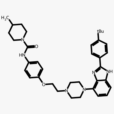 CC1CCN(C(=O)Nc2ccc(OCCN3CCN(c4cccc5[nH]c(-c6ccc(C(C)(C)C)cc6)nc45)CC3)cc2)CC1